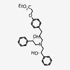 CCOC(=O)COc1ccc(CCCN(C[C@@H](O)c2ccccc2)C[C@@H](O)c2ccccc2)cc1